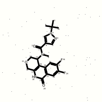 CN(C(=O)c1cnn(C(C)(C)C)c1)C1COCc2[nH]c(=O)c3cc(F)c(F)cc3c21